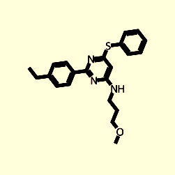 CCc1ccc(-c2nc(NCCCOC)cc(Sc3ccccc3)n2)cc1